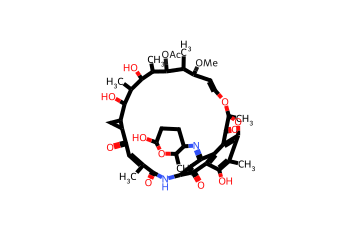 COC1C=COC2(C)Oc3c(C)c(O)c4c(c3C2=O)C(=NC2CCC(O)OC2C)C=C(NC(=O)C(C)=CC(=O)C2CC2C(O)C(C)C(O)C(C)C(OC(C)=O)C1C)C4=O